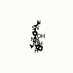 N#Cc1csc(-c2ccc(-c3ncc(N(C4CC4)[C@H]4C[C@@H]5CCC[C@@H](C5)[C@H]4F)nn3)c(O)c2)n1